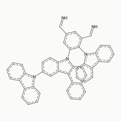 N=Cc1cc(C=N)c(-n2c3ccccc3c3ccccc32)c(-n2c3ccc(-n4c5ccccc5c5ccccc54)cc3c3c4ccccc4ccc32)c1